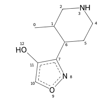 CC1CNCCC1c1nocc1O